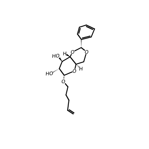 C=CCCCO[C@H]1O[C@@H]2CO[C@@H](c3ccccc3)O[C@H]2[C@H](O)[C@H]1O